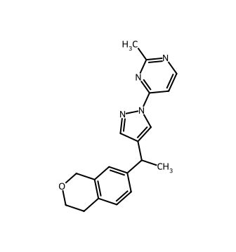 Cc1nccc(-n2cc(C(C)c3ccc4c(c3)COCC4)cn2)n1